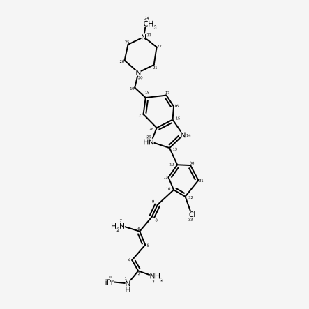 CC(C)N/C(N)=C/C=C(\N)C#Cc1cc(-c2nc3ccc(CN4CCN(C)CC4)cc3[nH]2)ccc1Cl